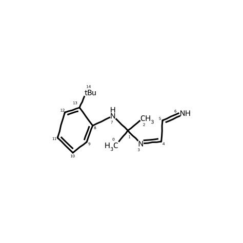 CC(C)(/N=C\C=N)Nc1ccccc1C(C)(C)C